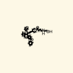 Nc1ncnc2c1c(-c1ccc(Oc3ccccc3)cc1)c(C#CC1CCN(C(=O)/C=C/CNCCO)CC1)n2[C@H]1CCOC1